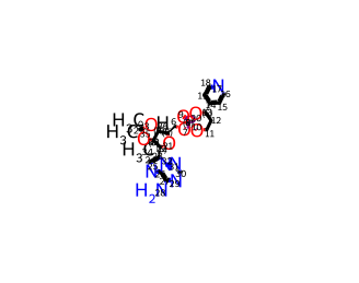 CC1(C)O[C@@H]2[C@@H](CO[P@@]3(=O)OCC[C@@H](c4ccncc4)O3)O[C@@H](c3cnc4c(N)ncnn34)[C@]2(C)O1